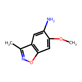 COc1cc2onc(C)c2cc1N